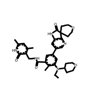 CCN(c1cc(-c2cnc3c(c2)NC(=O)C32CCOCC2)cc(C(=O)NCc2c(C)cc(C)[nH]c2=O)c1C)C1CCOCC1